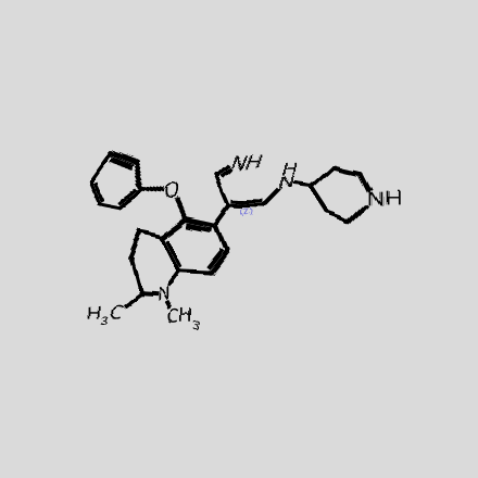 CC1CCc2c(ccc(/C(C=N)=C/NC3CCNCC3)c2Oc2ccccc2)N1C